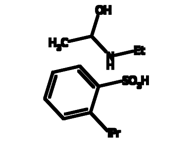 CC(C)c1ccccc1S(=O)(=O)O.CCNC(C)O